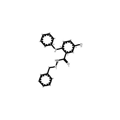 O=C(NOCc1ccccc1)c1cc(Cl)ccc1Sc1ccccc1